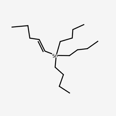 CCC/C=[CH]/[Sn]([CH2]CCC)([CH2]CCC)[CH2]CCC